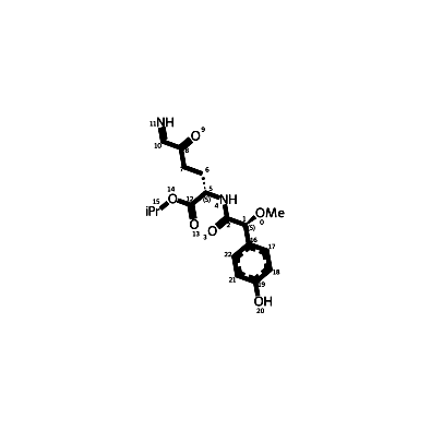 CO[C@H](C(=O)N[C@@H](CCC(=O)C=N)C(=O)OC(C)C)c1ccc(O)cc1